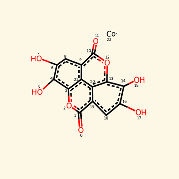 O=c1oc2c(O)c(O)cc3c(=O)oc4c(O)c(O)cc1c4c23.[Co]